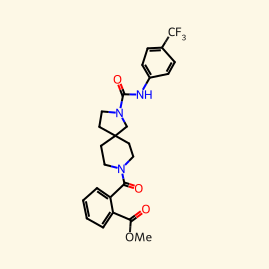 COC(=O)c1ccccc1C(=O)N1CCC2(CCN(C(=O)Nc3ccc(C(F)(F)F)cc3)C2)CC1